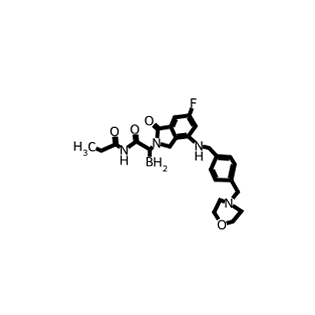 BC(C(=O)NC(=O)CC)N1Cc2c(NCc3ccc(CN4CCOCC4)cc3)cc(F)cc2C1=O